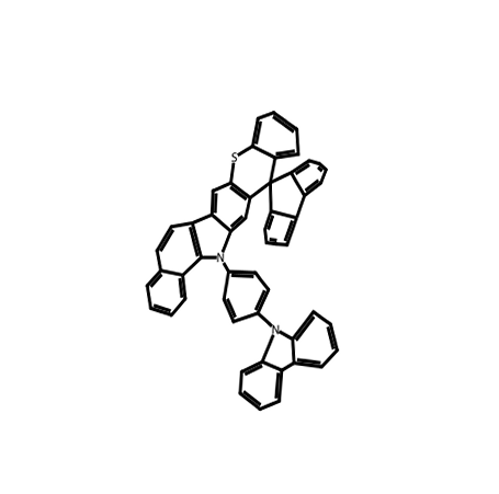 c1ccc2c(c1)Sc1cc3c4ccc5ccccc5c4n(-c4ccc(-n5c6ccccc6c6ccccc65)cc4)c3cc1C21c2ccccc2-c2ccccc21